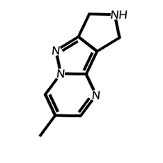 Cc1cnc2c3c(nn2c1)CNC3